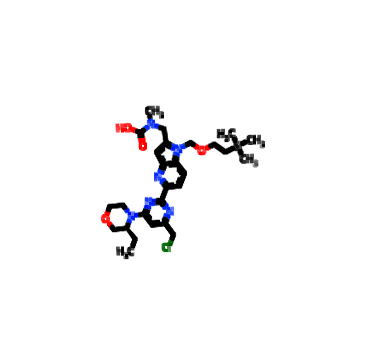 CC[C@H]1COCCN1c1cc(CCl)nc(-c2ccc3c(cc(CN(C)C(=O)O)n3COCC[Si](C)(C)C)n2)n1